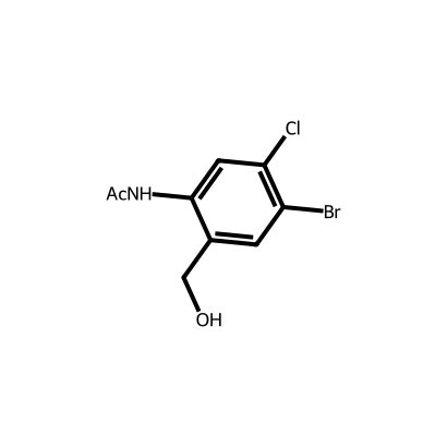 CC(=O)Nc1cc(Cl)c(Br)cc1CO